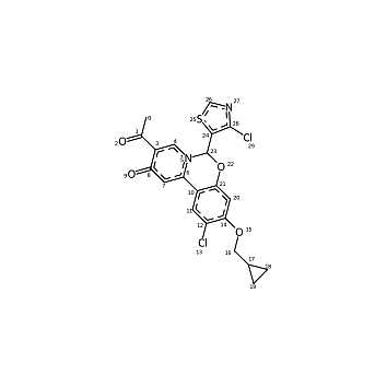 CC(=O)c1cn2c(cc1=O)-c1cc(Cl)c(OCC3CC3)cc1OC2c1scnc1Cl